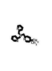 CC1(C)C=CN=C(CN(Cc2ccccn2)Cc2ccccn2)C=C1